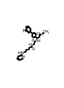 COC(=O)CC(NC(=O)CNC(=O)CCCCNc1ccccn1)c1ccc(-c2cccc(F)c2)cc1